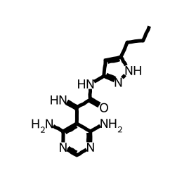 CCCc1cc(NC(=O)C(=N)c2c(N)ncnc2N)n[nH]1